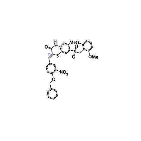 COc1cccc(OC)c1CS(=O)(=O)c1ccc2c(c1)S/C(=C\c1ccc(OCc3ccccc3)c([N+](=O)[O-])c1)C(=O)N2